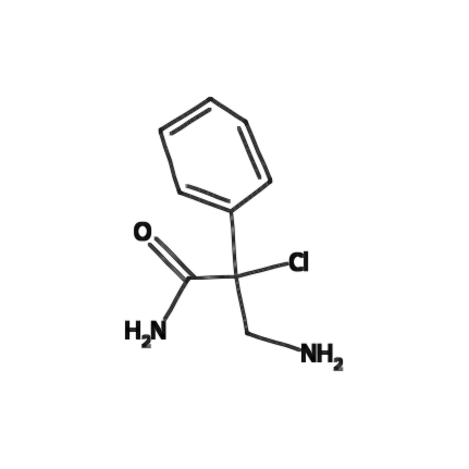 NCC(Cl)(C(N)=O)c1ccccc1